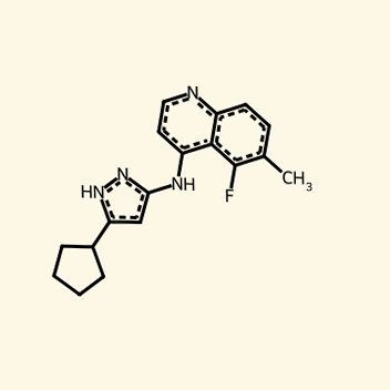 Cc1ccc2nccc(Nc3cc(C4CCCC4)[nH]n3)c2c1F